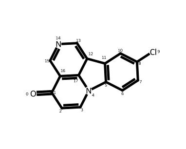 O=c1ccn2c3ccc(Cl)cc3c3cncc1c32